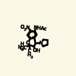 CC(=O)Nc1cc2c(cc1[N+](=O)[O-])OC(C)(C)C(O)C2N1CCCC1.Cl